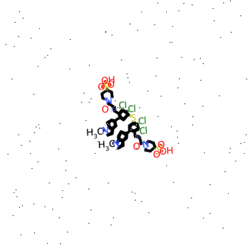 Cn1ccc2cc(-c3cc(Sc4cc(-c5ccc6c(ccn6C)c5)c(/C=C/C(=O)N5CCC(S(=O)(=O)O)CC5)c(Cl)c4Cl)c(Cl)c(Cl)c3/C=C/C(=O)N3CCC(S(=O)(=O)O)CC3)ccc21